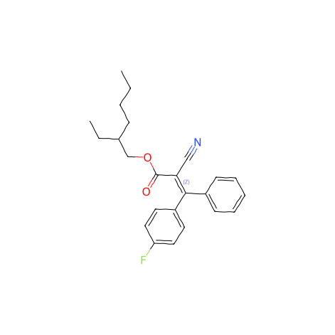 CCCCC(CC)COC(=O)/C(C#N)=C(/c1ccccc1)c1ccc(F)cc1